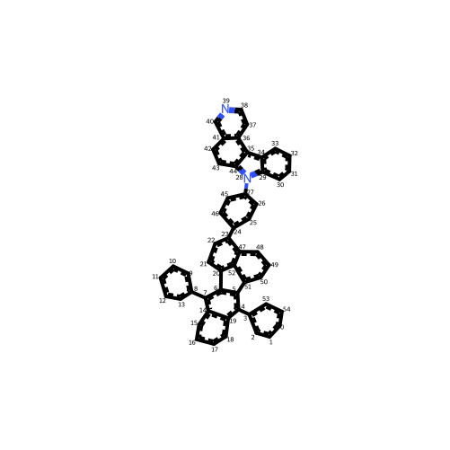 c1ccc(-c2c3c(c(-c4ccccc4)c4ccccc24)-c2ccc(-c4ccc(-n5c6ccccc6c6c7ccncc7ccc65)cc4)c4cccc-3c24)cc1